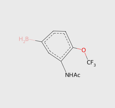 Bc1ccc(OC(F)(F)F)c(NC(C)=O)c1